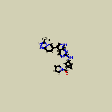 Cc1nnc2ccc(-c3c[nH]c4nc(N[C@H]5C[C@]6(C(=O)N7CCCC7)CC56)ncc34)cn12